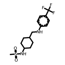 CS(=O)(=O)NC1CCC(CNc2ccc(C(F)(F)F)cc2)CC1